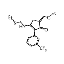 CCOC=C1CC(NCSCC)=C(c2cccc(C(F)(F)F)c2)C1=O